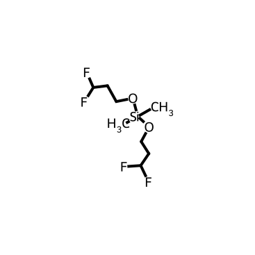 C[Si](C)(OCCC(F)F)OCCC(F)F